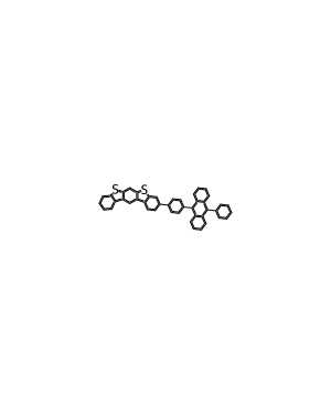 c1ccc(-c2c3ccccc3c(-c3ccc(-c4ccc5c(c4)sc4cc6sc7ccccc7c6cc45)cc3)c3ccccc23)cc1